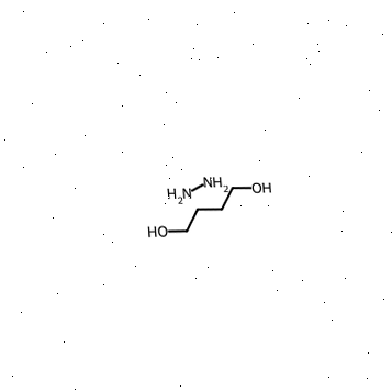 NN.OCCCCO